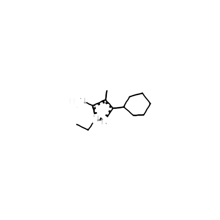 CCn1nc(C2CCCCC2)c(C)c1N